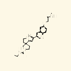 CCNC(=O)N1CCC2(CCn3nc(-c4cnc5ccc(OCC(=O)NC)cc5c4)cc32)C1